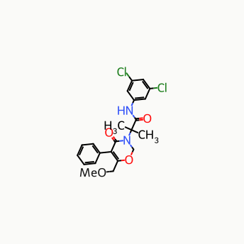 COCC1=C(c2ccccc2)C(=O)N(C(C)(C)C(=O)Nc2cc(Cl)cc(Cl)c2)CO1